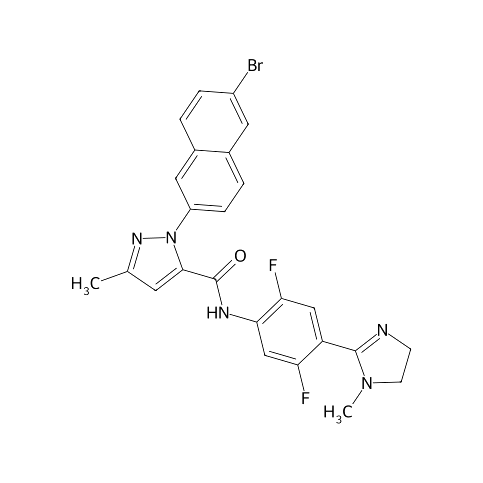 Cc1cc(C(=O)Nc2cc(F)c(C3=NCCN3C)cc2F)n(-c2ccc3cc(Br)ccc3c2)n1